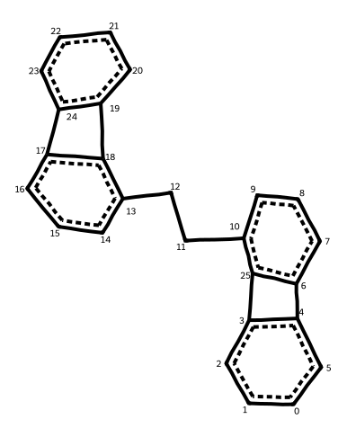 c1ccc2c(c1)-c1cccc(CCc3cccc4c3-c3ccccc3-4)c1-2